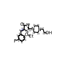 CCOc1ccc(F)cc1/C=C1\SC(N2CCN(CCO)CC2)=NC1=O